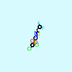 O=S(=O)(c1ccc(Cl)cc1Cl)C1CCN(c2nc(Cc3cc(F)cc(F)c3)cs2)CC1